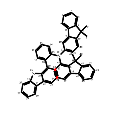 CC1(C)c2ccccc2-c2cc(N(c3ccccc3-c3cccc4c3sc3ccccc34)c3cccc4c3C(C)(C)c3ccccc3-4)ccc21